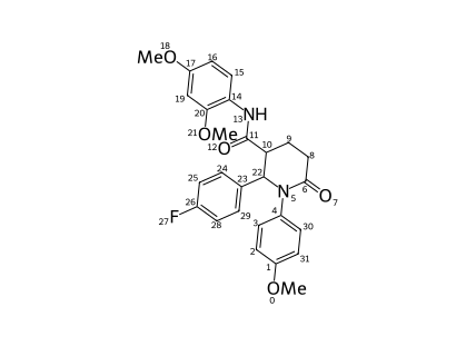 COc1ccc(N2C(=O)CCC(C(=O)Nc3ccc(OC)cc3OC)C2c2ccc(F)cc2)cc1